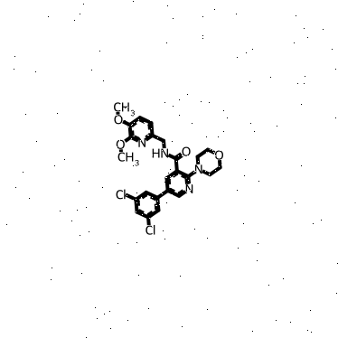 COc1ccc(CNC(=O)c2cc(-c3cc(Cl)cc(Cl)c3)cnc2N2CCOCC2)nc1OC